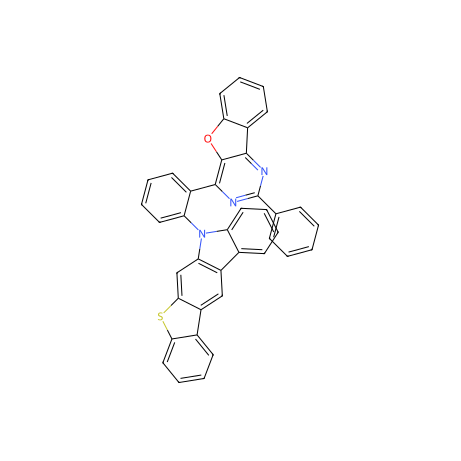 c1ccc(-c2nc(-c3ccccc3-n3c4ccccc4c4cc5c(cc43)sc3ccccc35)c3oc4ccccc4c3n2)cc1